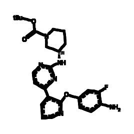 CC(C)(C)OC(=O)N1CCC[C@H](Nc2nccc(-c3cccnc3Oc3ccc(N)c(F)c3)n2)C1